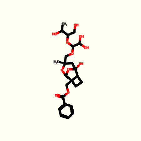 CC(O)C(CO)OC(OC[C@]1(C)C[C@@]2(O)OC(O1)C1(COC(=O)c3ccccc3)CCC12)C(O)O